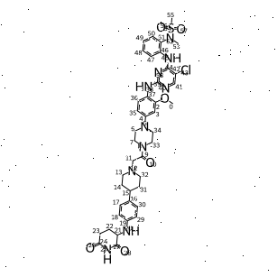 COc1cc(N2CCN(C(=O)CN3CCC(c4ccc(NC5CCC(=O)NC5=O)cc4)CC3)CC2)ccc1Nc1ncc(Cl)c(Nc2ccccc2N(C)S(C)(=O)=O)n1